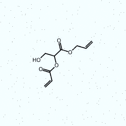 C=CCOC(=O)C(CO)OC(=O)C=C